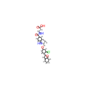 CC(C)C(COc1ccc(-c2cc3ccccc3o2)c(Cl)c1)Nc1ccc(C(=O)NCCC(=O)O)cc1